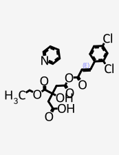 CCOC(=O)C(O)(CC(=O)O)CC(=O)OC(=O)/C=C/c1ccc(Cl)cc1Cl.c1ccncc1